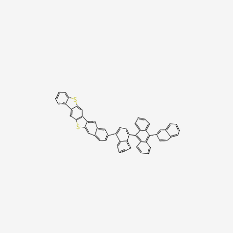 c1ccc2cc(-c3c4ccccc4c(-c4ccc(-c5ccc6cc7sc8cc9c(cc8c7cc6c5)sc5ccccc59)c5ccccc45)c4ccccc34)ccc2c1